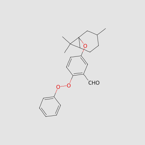 CC1CCC2C(C)(C)C2(Oc2ccc(OOc3ccccc3)c(C=O)c2)C1